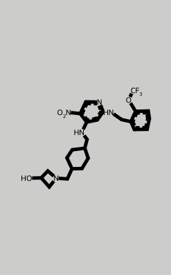 O=[N+]([O-])c1cnc(NCc2ccccc2OC(F)(F)F)cc1NCC1CCC(CN2CC(O)C2)CC1